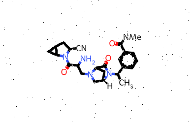 CNC(=O)c1cccc(C(C)N2C(=O)C3C[C@H]2CN3CC(N)C(=O)N2C(C#N)CC3CC32)c1